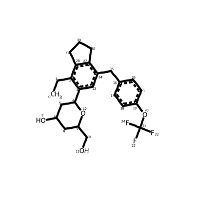 CCc1c(C2CC(O)CC(CO)O2)cc(Cc2ccc(OC(F)(F)F)cc2)c2c1CCC2